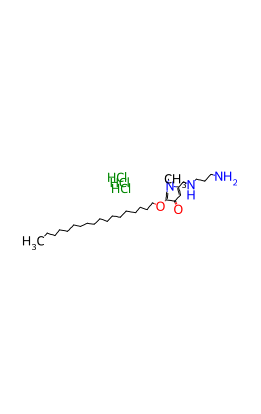 CCCCCCCCCCCCCCCCCCOc1cn(C)c(CNCCCN)cc1=O.Cl.Cl.Cl